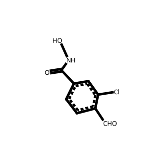 O=Cc1ccc(C(=O)NO)cc1Cl